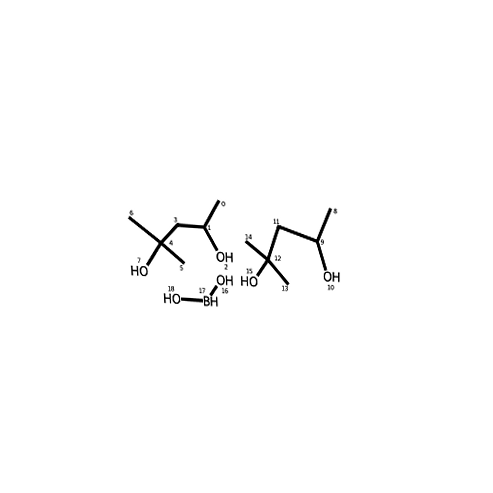 CC(O)CC(C)(C)O.CC(O)CC(C)(C)O.OBO